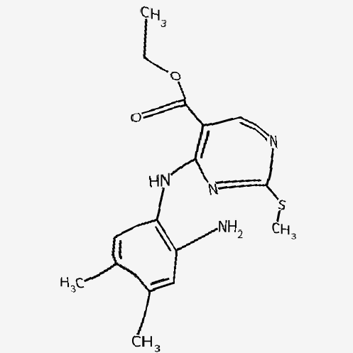 CCOC(=O)c1cnc(SC)nc1Nc1cc(C)c(C)cc1N